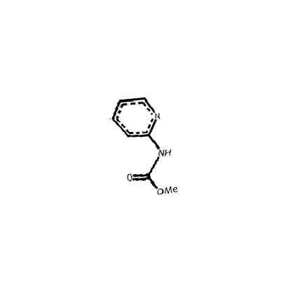 COC(=O)Nc1c[c]ccn1